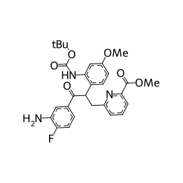 COC(=O)c1cccc(CC(C(=O)c2ccc(F)c(N)c2)c2ccc(OC)cc2NC(=O)OC(C)(C)C)n1